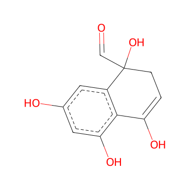 O=CC1(O)CC=C(O)c2c(O)cc(O)cc21